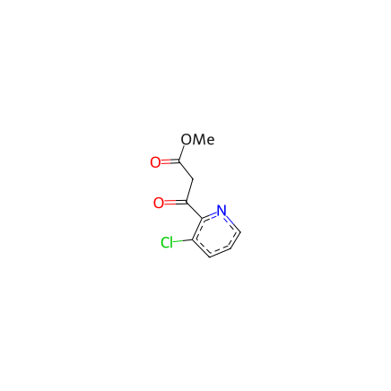 COC(=O)CC(=O)c1ncccc1Cl